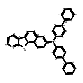 c1ccc(-c2ccc(N(c3ccc(-c4ccccc4)cc3)c3ccc4c(ccc5c6cccnc6oc45)c3)cc2)cc1